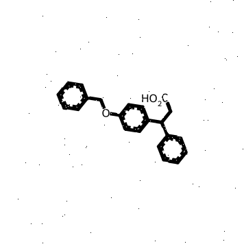 O=C(O)CC(c1ccccc1)c1ccc(OCc2ccccc2)cc1